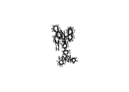 N=C(NC(/N=C/c1ccccc1)c1ccc(-c2ccc(-n3c(-c4cccc5ccccc45)nc4c5ccccc5c5c(c43)CNC=C5)cc2)cc1)c1ccccc1